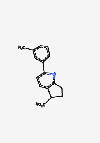 Cc1cccc(-c2ccc3c(n2)CCC3C(=O)O)c1